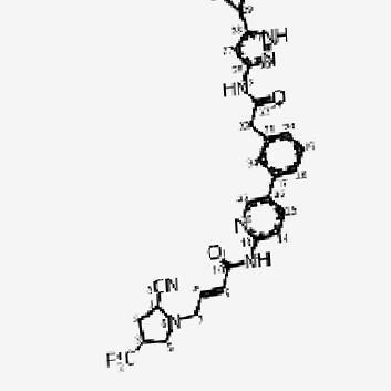 N#C[C@@H]1C[C@H](C(F)(F)F)CN1C/C=C/C(=O)Nc1ccc(-c2cccc(CC(=O)Nc3cc(C4CC4)[nH]n3)c2)cn1